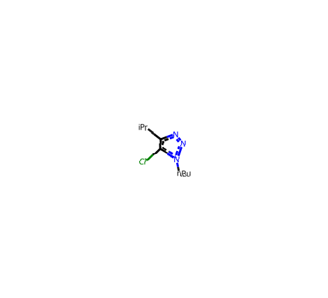 CCCCn1nnc(C(C)C)c1Cl